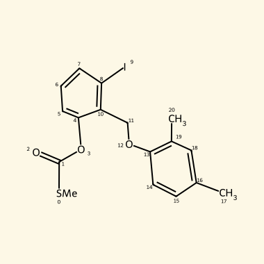 CSC(=O)Oc1cccc(I)c1COc1ccc(C)cc1C